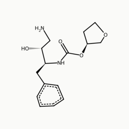 NC[C@@H](O)[C@H](Cc1ccccc1)NC(=O)O[C@H]1CCOC1